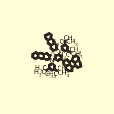 CC(C)(C)c1cc(N2c3cc4cc5ccccc5cc4cc3B3c4cc5cc6ccccc6cc5cc4N(c4cc(C(C)(C)C)cc(C(C)(C)C)c4)c4cc(-c5cc6cccc7c8cccc9cccc(c(c5)c67)c98)cc2c43)cc(C(C)(C)C)c1